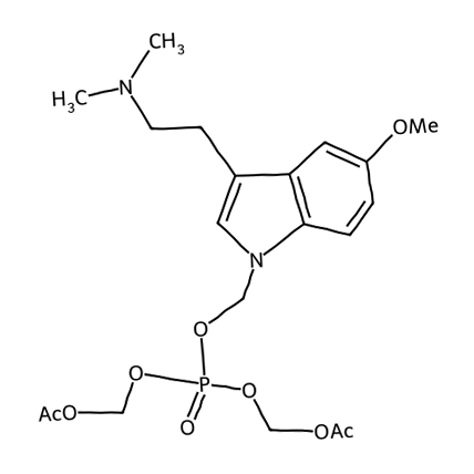 COc1ccc2c(c1)c(CCN(C)C)cn2COP(=O)(OCOC(C)=O)OCOC(C)=O